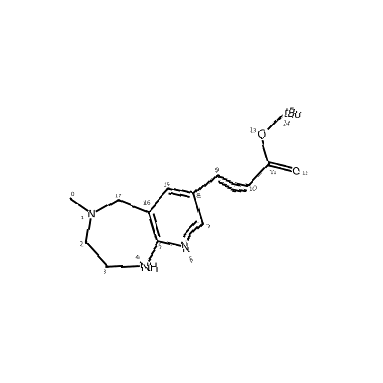 CN1CCNc2ncc(C=CC(=O)OC(C)(C)C)cc2C1